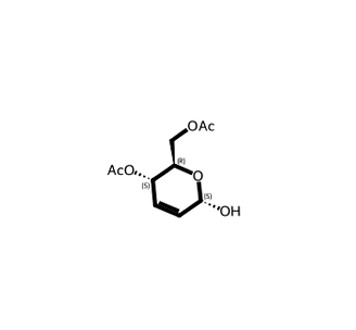 CC(=O)OC[C@H]1O[C@H](O)C=C[C@@H]1OC(C)=O